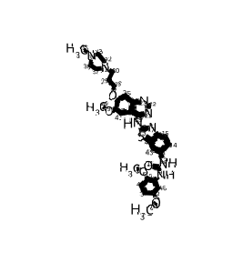 COc1ccc(OC)c(NC(=O)Nc2ccc3nc(Nc4ncnc5cc(OCCCN6CCN(C)CC6)c(OC)cc45)sc3c2)c1